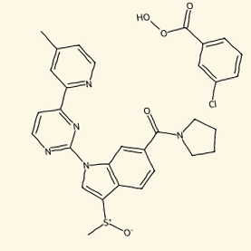 Cc1ccnc(-c2ccnc(-n3cc([S+](C)[O-])c4ccc(C(=O)N5CCCC5)cc43)n2)c1.O=C(OO)c1cccc(Cl)c1